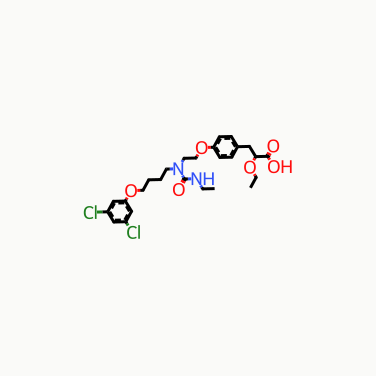 CCNC(=O)N(CCCCOc1cc(Cl)cc(Cl)c1)CCOc1ccc(CC(OCC)C(=O)O)cc1